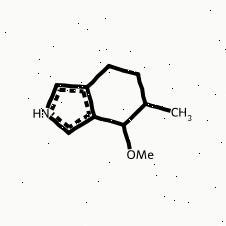 COC1c2c[nH]cc2CCC1C